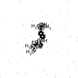 COC(=O)N[C@H](C(=O)N1CCC[C@H]1C(=O)Nc1ccc2cc(B3OC(C)(C)C(C)(C)O3)ccc2c1)C(C)C